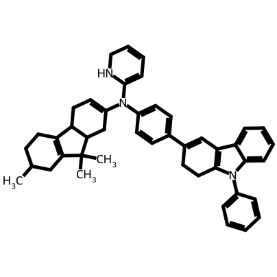 CC1CCC2=C(C1)C(C)(C)C1CC(N(C3=CC=CCN3)c3ccc(C4=Cc5c(n(-c6ccccc6)c6ccccc56)CC4)cc3)=CCC21